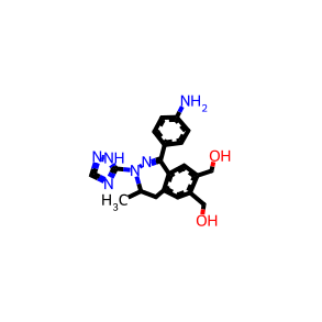 CC1Cc2cc(CO)c(CO)cc2C(c2ccc(N)cc2)=NN1c1ncn[nH]1